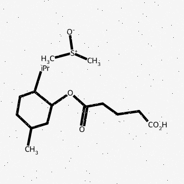 CC1CCC(C(C)C)C(OC(=O)CCCC(=O)O)C1.C[S+](C)[O-]